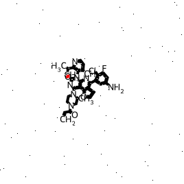 C=CC(=O)N1CCN(c2nc(=O)n(-c3c(C)ccnc3C(C)C)c3nc(-c4cc(N)cc(F)c4Cl)c4ccoc4c23)[C@@H](C)C1